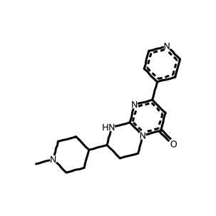 CN1CCC(C2CCn3c(nc(-c4ccncc4)cc3=O)N2)CC1